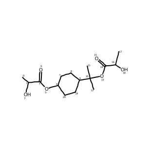 CC(O)C(=O)OC1CCC(C(C)(C)OC(=O)C(C)O)CC1